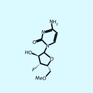 COC[C@H]1OC(n2ccc(N)nc2=O)[C@H](O)[C@H]1F